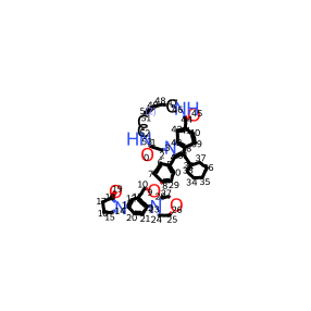 O=C1Cn2c(-c3ccc(OCc4cc(N5CCCC5=O)ccc4N4CCOCC4)cc3)c(C3CCCCC3)c3ccc(cc32)C(=O)NCC/C=C\CCN1